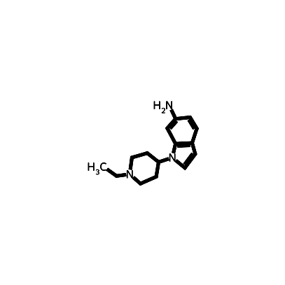 CCN1CCC(n2ccc3ccc(N)cc32)CC1